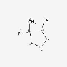 CC(C)C1(C)COCC1C#N